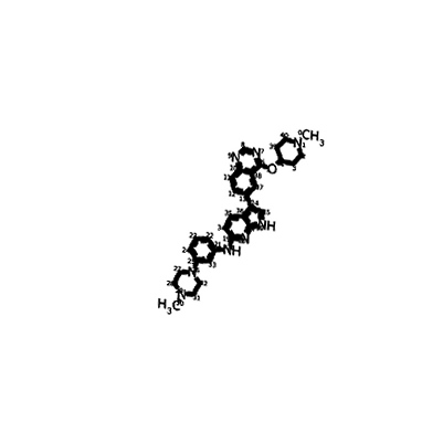 CN1CCC(Oc2ncnc3ccc(-c4c[nH]c5nc(Nc6cccc(N7CCN(C)CC7)c6)ccc45)cc23)CC1